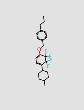 CCCc1ccc(COC2=CC=C(C3CCC(C)CC3)C(F)(F)C2(F)F)cc1